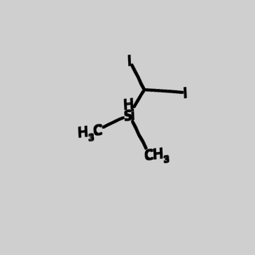 C[SiH](C)C(I)I